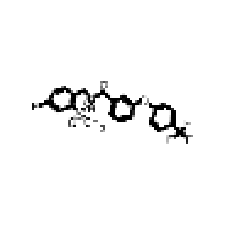 CS(=O)(=O)c1cc(F)ccc1CNC(=O)c1cccc(Oc2ccc(C(F)(F)F)cc2)c1